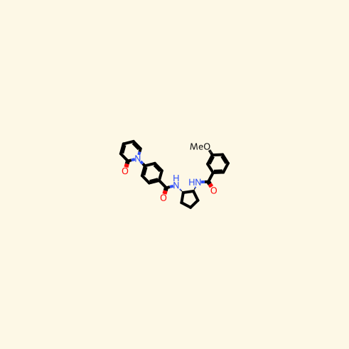 COc1cccc(C(=O)N[C@@H]2CCC[C@@H]2NC(=O)c2ccc(-n3ccccc3=O)cc2)c1